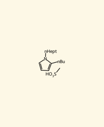 CCCCCCCn1cccc1CCCC.CS(=O)(=O)O